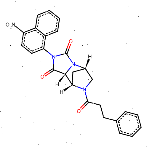 O=C1[C@H]2[C@@H]3C[C@@H](CN3C(=O)CCc3ccccc3)N2C(=O)N1c1ccc([N+](=O)[O-])c2ccccc12